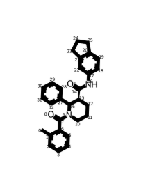 Cc1ccccc1C(=O)N1CCC[C@H](C(=O)Nc2ccc3c(c2)CCC3)C1c1ccccc1